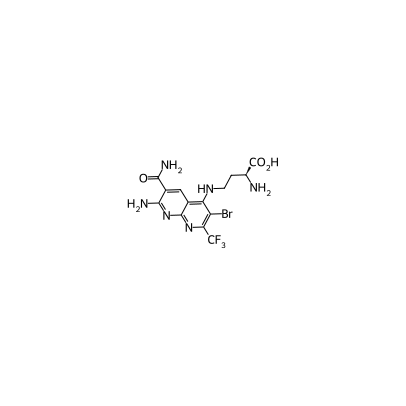 NC(=O)c1cc2c(NCC[C@H](N)C(=O)O)c(Br)c(C(F)(F)F)nc2nc1N